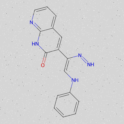 N=N/C(=C\Nc1ccccc1)c1cc2cccnc2[nH]c1=O